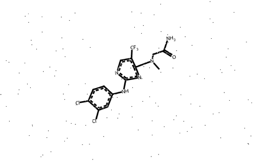 CN(CC(N)=O)c1nc(Nc2ccc(Cl)c(Cl)c2)ncc1C(F)(F)F